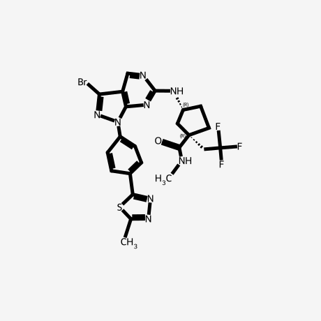 CNC(=O)[C@]1(CC(F)(F)F)CC[C@@H](Nc2ncc3c(Br)nn(-c4ccc(-c5nnc(C)s5)cc4)c3n2)C1